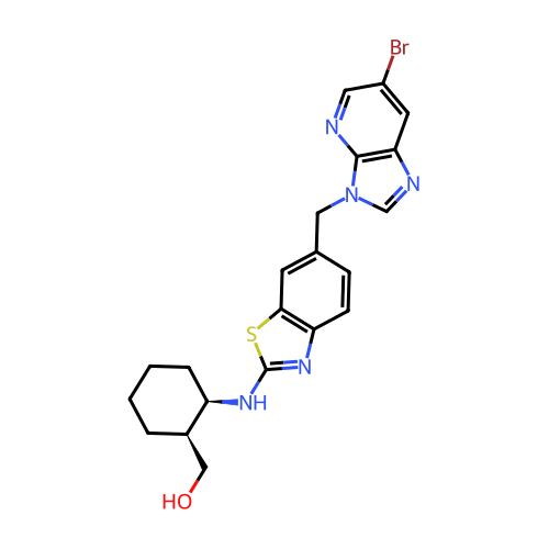 OC[C@H]1CCCC[C@H]1Nc1nc2ccc(Cn3cnc4cc(Br)cnc43)cc2s1